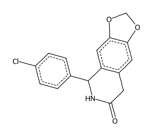 O=C1Cc2cc3c(cc2C(c2ccc(Cl)cc2)N1)OCO3